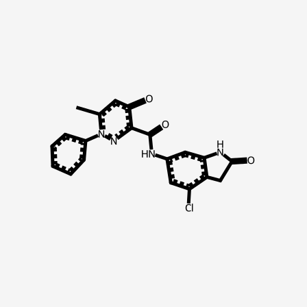 Cc1cc(=O)c(C(=O)Nc2cc(Cl)c3c(c2)NC(=O)C3)nn1-c1ccccc1